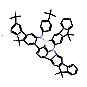 CC(C)(C)c1ccc(N2B3c4cc5c(cc4-n4c6cc7c(cc6c6ccc(c3c64)-c3cc4c(cc32)-c2cc(C(C)(C)C)ccc2C4(C)C)C(C)(C)c2ccccc2-7)C(C)(C)c2ccccc2-5)cc1